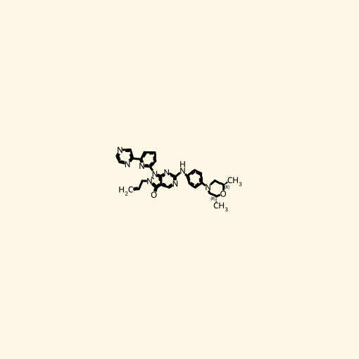 C=CCn1c(=O)c2cnc(Nc3ccc(N4C[C@@H](C)O[C@H](C)C4)cc3)nc2n1-c1cccc(-c2cnccn2)n1